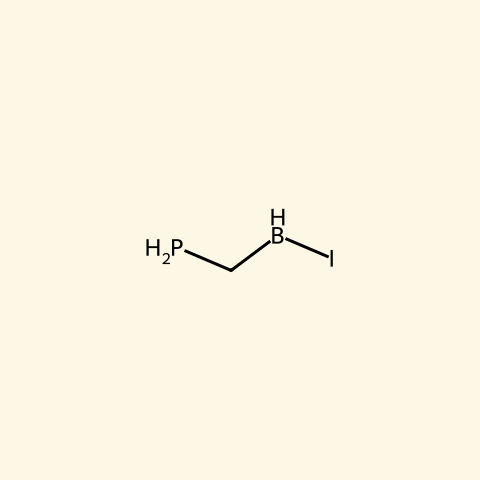 PCBI